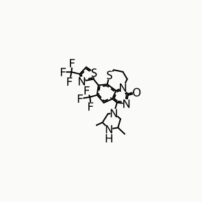 CC1CN(c2nc(=O)n3c4c(c(-c5nc(C(F)(F)F)cs5)c(C(F)(F)F)cc24)SCCC3)CC(C)N1